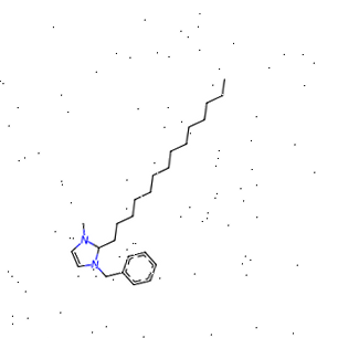 CCCCCCCCCCCCCCC1N(C)C=CN1Cc1ccccc1